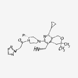 CC(C)[C@@H]1CN(c2nc(C3CC3)c3c(c2C=N)CC(C)(C)OC3)CCN1C(=O)Cn1nccn1